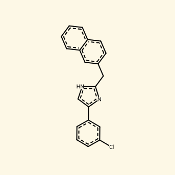 Clc1cccc(-c2c[nH]c(Cc3ccc4ccccc4c3)n2)c1